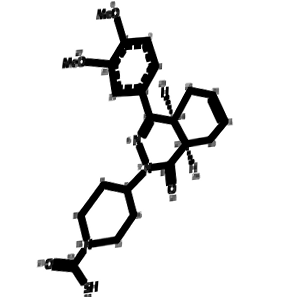 COc1ccc(C2=NN(C3CCN(C(=O)S)CC3)C(=O)[C@@H]3CC=CC[C@H]23)cc1OC